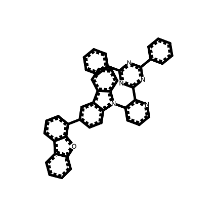 c1ccc(-c2nc(-c3ccccc3)nc(-c3ncccc3-n3c4ccccc4c4cc(-c5cccc6c5oc5ccccc56)ccc43)n2)cc1